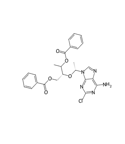 CC(OC(=O)c1ccccc1)[C@@H](COC(=O)c1ccccc1)O[C@H](C)n1cnc2c(N)nc(Cl)nc21